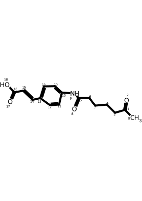 CC(=O)CCCCC(=O)Nc1ccc(C=CC(=O)O)cc1